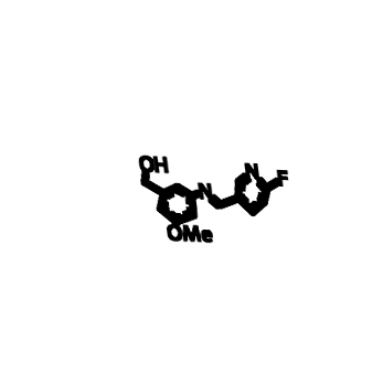 COc1cc(CO)cc(N=Cc2ccc(F)nc2)c1